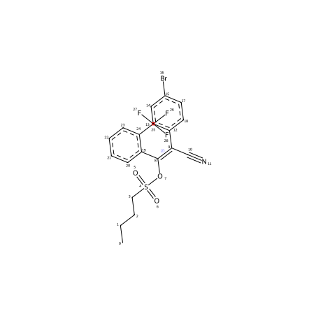 CCCCS(=O)(=O)O/C(=C(\C#N)c1ccc(Br)cc1)c1ccccc1C(F)(F)F